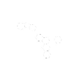 c1ccc(-c2nc3cc(-c4ccc5oc6ccccc6c5c4)ccc3c3nc4ccccc4cc23)cc1